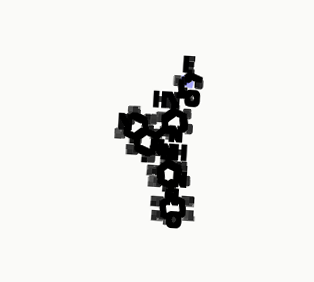 C/C(F)=C\C(=O)Nc1ccnc(C2c3ccncc3C=CN2Nc2ccc(N3CCOCC3)nc2)c1